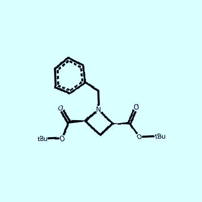 CC(C)(C)OC(=O)[C@H]1C[C@@H](C(=O)OC(C)(C)C)N1Cc1ccccc1